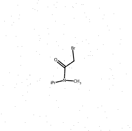 CC(C)N(C)C(=O)CBr